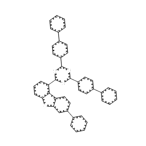 c1ccc(-c2ccc(-c3nc(-c4ccc(-c5ccccc5)cc4)nc(-c4cccc5oc6cc(-c7ccccc7)ccc6c45)n3)cc2)cc1